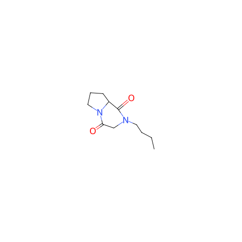 CCCCN1CC(=O)N2CCCC2C1=O